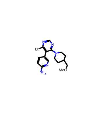 CCc1ncnc(N2CCC(COC)CC2)c1-c1ccc(N)nc1